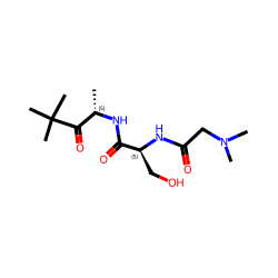 C[C@H](NC(=O)[C@H](CO)NC(=O)CN(C)C)C(=O)C(C)(C)C